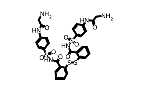 NCC(=O)Nc1ccc(S(=O)(=O)NC(=O)c2ccccc2SSc2ccccc2C(=O)NS(=O)(=O)c2ccc(NC(=O)CN)cc2)cc1